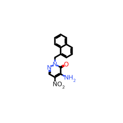 Nc1c([N+](=O)[O-])cnn(Cc2cccc3ccccc23)c1=O